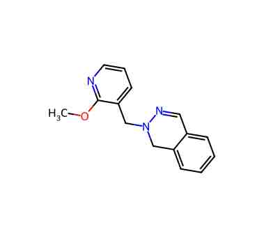 COc1ncccc1CN1Cc2ccccc2C=N1